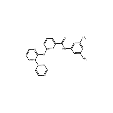 Nc1cc(NC(=O)c2cccc(Oc3ncccc3-c3ccncn3)c2)cc(C(F)(F)F)c1